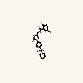 O=C(NCC1CN(c2ccc(S(=O)(=O)N3CCCCC3)cc2)C(=O)O1)C1=CC(Cl)=CCC1=S